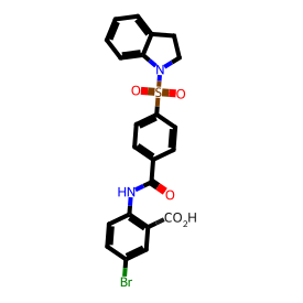 O=C(Nc1ccc(Br)cc1C(=O)O)c1ccc(S(=O)(=O)N2CCc3ccccc32)cc1